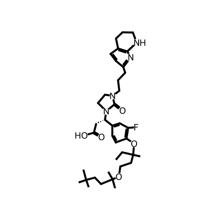 CCC(C)(CCOC(C)(C)CCC(C)(C)C)Oc1ccc([C@H](CC(=O)O)N2CCN(CCCc3ccc4c(n3)NCCC4)C2=O)cc1F